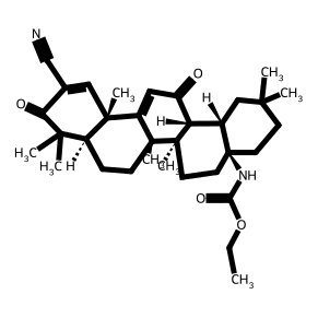 CCOC(=O)N[C@]12CCC(C)(C)C[C@H]1[C@H]1C(=O)C=C3[C@@]4(C)C=C(C#N)C(=O)C(C)(C)[C@@H]4CC[C@@]3(C)[C@]1(C)CC2